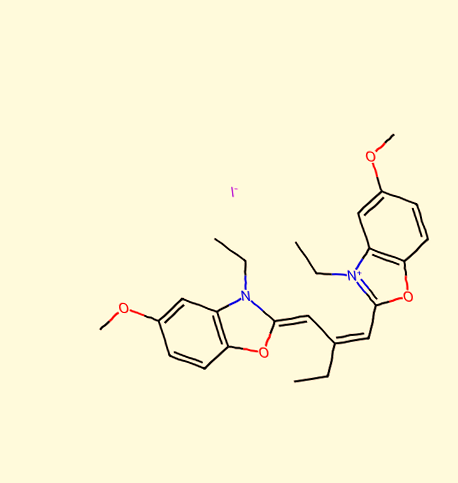 CCC(=Cc1oc2ccc(OC)cc2[n+]1CC)C=C1Oc2ccc(OC)cc2N1CC.[I-]